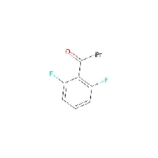 CC(C)C(=O)c1c(F)cccc1F